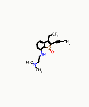 CC#Cc1c(CC(F)(F)F)c2cccc(NCCN(C)C)c2[s+]1[O-]